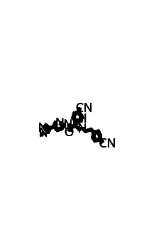 Cn1cc(-c2ccc(NC(=O)C(CNCCc3ccc(C#N)cc3)c3ccc(C#N)cc3)nc2)cn1